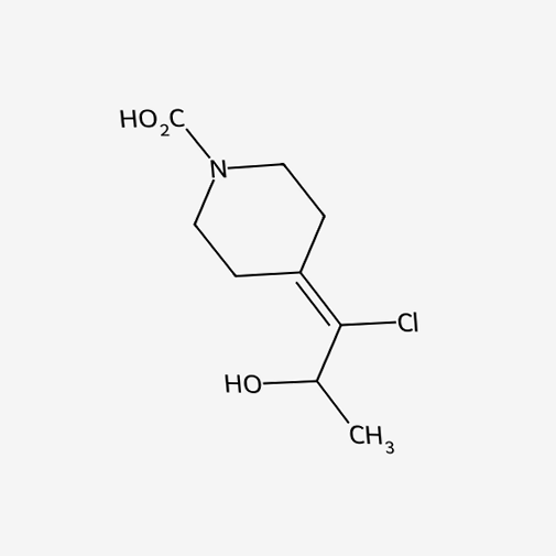 CC(O)C(Cl)=C1CCN(C(=O)O)CC1